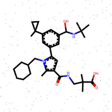 Cc1c(C(=O)NCC(C)(C)C(=O)O)cc(-c2cc(C(O)NC(C)(C)C)cc(C3(C)CC3)c2)n1CC1CCCCC1